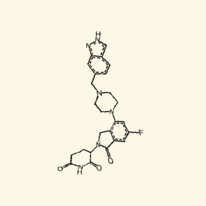 O=C1CCC(N2Cc3c(cc(F)cc3N3CCN(Cc4ccc5c[nH]nc5c4)CC3)C2=O)C(=O)N1